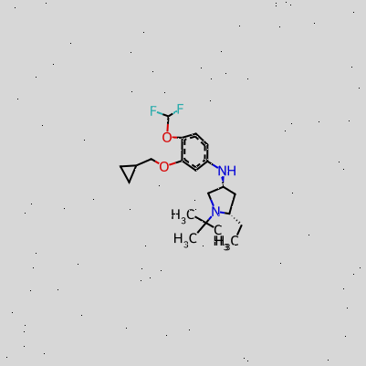 CC[C@H]1C[C@H](Nc2ccc(OC(F)F)c(OCC3CC3)c2)CN1C(C)(C)C